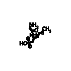 CSCCC(CS(=O)(=O)O)NC(=O)CN